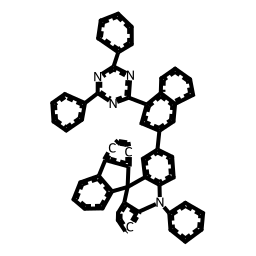 c1ccc(-c2nc(-c3ccccc3)nc(-c3cc(-c4ccc5c(c4)C4(c6ccccc6-c6ccccc64)c4ccccc4N5c4ccccc4)cc4ccccc34)n2)cc1